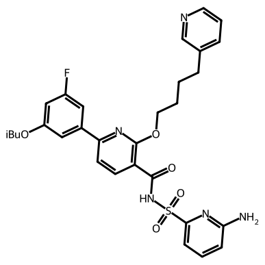 CC(C)COc1cc(F)cc(-c2ccc(C(=O)NS(=O)(=O)c3cccc(N)n3)c(OCCCCc3cccnc3)n2)c1